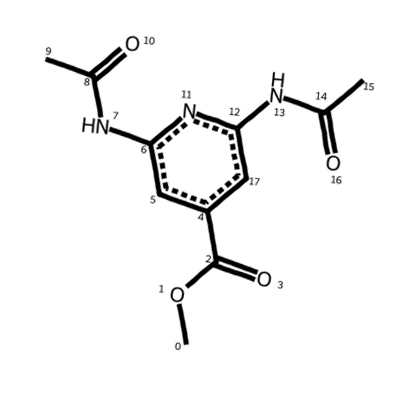 COC(=O)c1cc(NC(C)=O)nc(NC(C)=O)c1